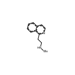 CC(C)(C)NCCc1nccc2ccccc12